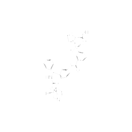 O=C(NC(c1ccccc1)c1cccc(OC(=O)c2cccc(S(=O)(=O)N3CCS[C@H]3C(=O)O)c2)c1)O[C@H]1CN2CCC1CC2